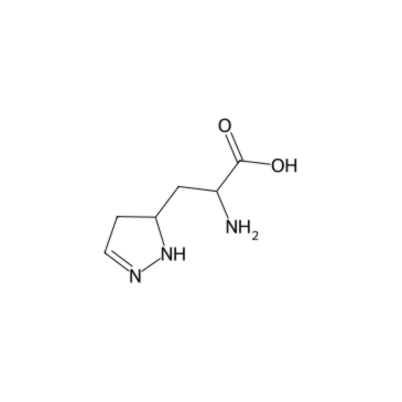 NC(CC1CC=NN1)C(=O)O